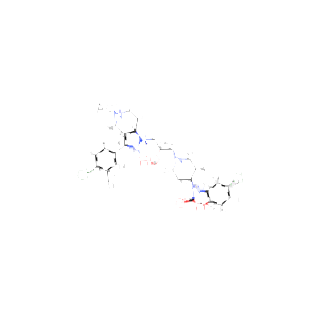 CC(=O)N1CCc2c(c(-c3ccc(Cl)c(C)c3)nn2CC(O)CN2CCC(n3c(=O)oc4ccc(Cl)cc43)CC2)C1